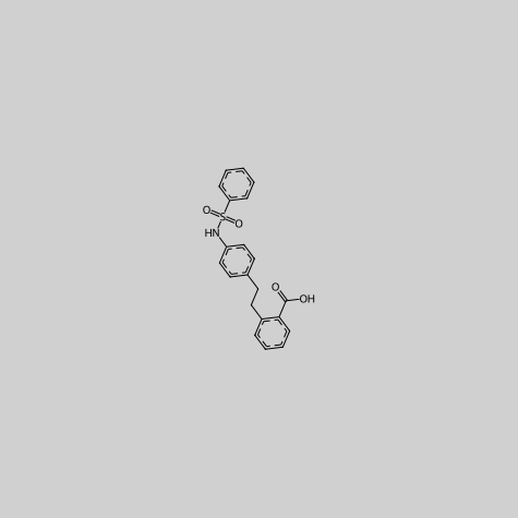 O=C(O)c1ccccc1CCc1ccc(NS(=O)(=O)c2ccccc2)cc1